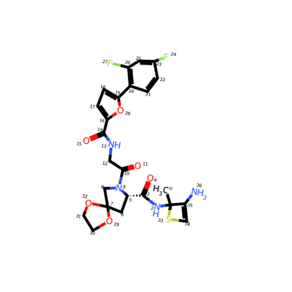 CC1(NC(=O)[C@@H]2CC3(CN2C(=O)CNC(=O)c2ccc(-c4ccc(F)cc4F)o2)OCCO3)SC=C1N